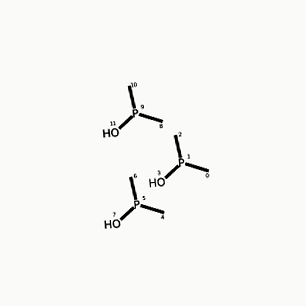 CP(C)O.CP(C)O.CP(C)O